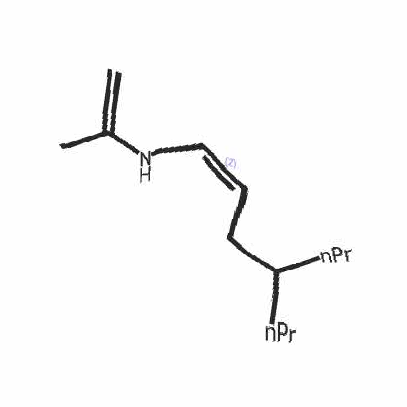 C=C(C)N/C=C\CC(CCC)CCC